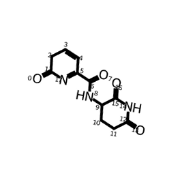 O=C1CC=CC(C(=O)NC2CCC(=O)NC2=O)=N1